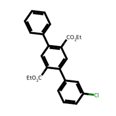 CCOC(=O)c1cc(-c2cccc(Cl)c2)c(C(=O)OCC)cc1-c1ccccc1